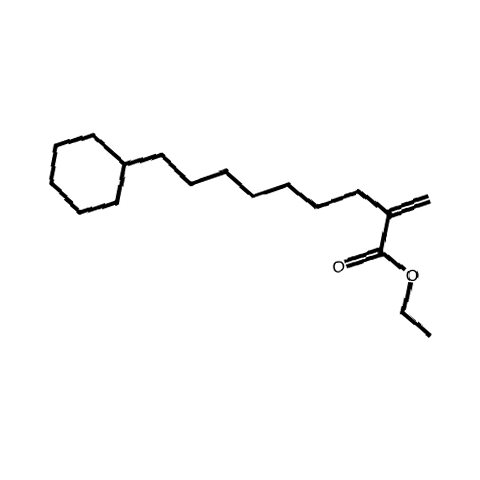 C=C(CCCCCCCC1CCCCC1)C(=O)OCC